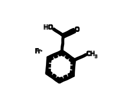 Cc1ccccc1C(=O)O.[Fr]